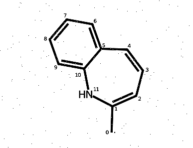 [CH2]C1=CC=Cc2ccccc2N1